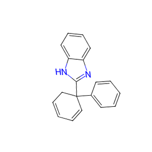 C1=CCC(c2ccccc2)(c2nc3ccccc3[nH]2)C=C1